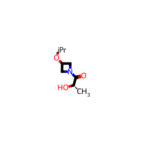 CC(C)OC1CN(C(=O)[C@H](C)O)C1